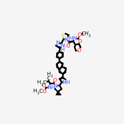 COC(=O)NC(C(=O)N1CC2(CC2)CC1c1cc(-c2ccc3cc(-c4ccc(-c5cnc(C6SCCN6C(=O)C(NC(=O)OC)C6CCOCC6)[nH]5)cc4)ccc3c2)c[nH]1)C(C)C